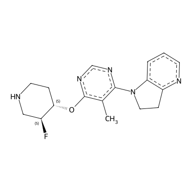 Cc1c(O[C@H]2CCNC[C@@H]2F)ncnc1N1CCc2ncccc21